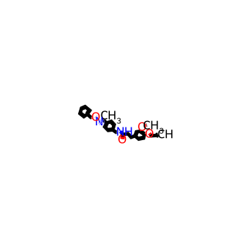 C#CCOc1ccc(CCC(=O)NCc2ccc(/C(C)=N/OCc3ccccc3)cc2)cc1OC